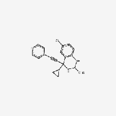 O=CC1Nc2ccc(Cl)cc2C(C#Cc2ccncc2)(C2CC2)N1